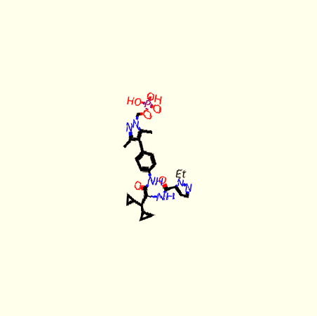 CCn1nccc1C(=O)N[C@H](C(=O)Nc1ccc(-c2c(C)nn(COP(=O)(O)O)c2C)cc1)C(C1CC1)C1CC1